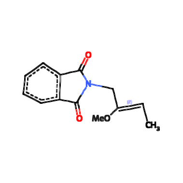 C/C=C(/CN1C(=O)c2ccccc2C1=O)OC